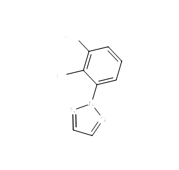 Cc1cccc(-n2nccn2)c1C(C)C